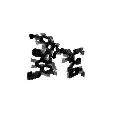 C=CC(=O)N1CC(NC(=O)Cn2c(C)c(C(=O)N3CCc4c(cccc4OC)C3)c3cc(Br)ccc32)C1C